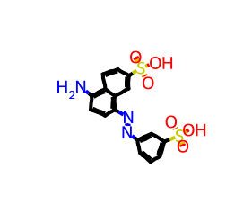 Nc1ccc(/N=N/c2cccc(S(=O)(=O)O)c2)c2cc(S(=O)(=O)O)ccc12